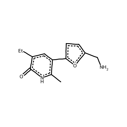 CCc1cc(-c2ccc(CN)o2)c(C)[nH]c1=O